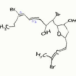 CC/C(Br)=C\C=C\C(O)C(Br)C1OC(C=C=C(C)Br)CC1O